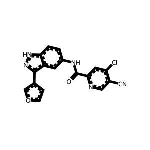 N#Cc1cnc(C(=O)Nc2ccc3[nH]nc(-c4ccoc4)c3c2)cc1Cl